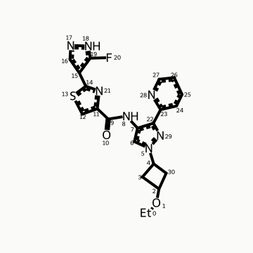 CCOC1CC(n2cc(NC(=O)c3csc(-c4cn[nH]c4F)n3)c(-c3ccccn3)n2)C1